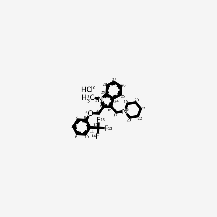 Cl.Cn1c(COc2ccccc2C(F)(F)F)c(CN2CCCCC2)c2ccccc21